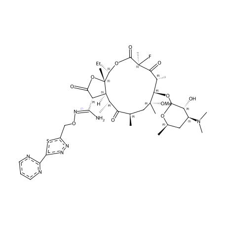 CC[C@@H]1OC(=O)[C@@](C)(F)C(=O)[C@H](C)[C@@H](OC2O[C@H](C)C[C@H](N(C)C)[C@H]2O)[C@](C)(OC)C[C@@H](C)C(=O)[C@H](C)[C@H]2[C@H](/C(N)=N/OCc3nnc(-c4ncccn4)s3)C(=O)O[C@@]21C